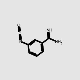 N=C(N)c1cccc(N=C=O)c1